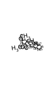 COc1cc(C)c(C(=O)/C=C/c2cc3ccccc3nc2Cl)c(OC)c1